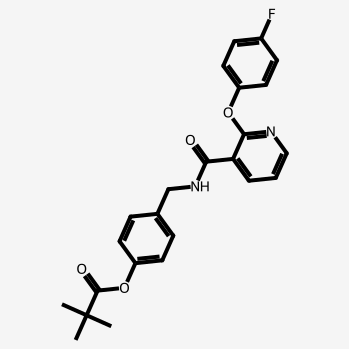 CC(C)(C)C(=O)Oc1ccc(CNC(=O)c2cccnc2Oc2ccc(F)cc2)cc1